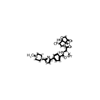 CC(C)C[C@H](NC(=O)c1ccc(-c2csc(N3CCN(C)CC3)n2)cc1)C(=O)N1C[C@H](Cl)[C@H]2OCC(=O)[C@H]21